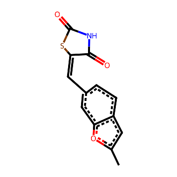 Cc1cc2ccc(/C=C3/SC(=O)NC3=O)cc2o1